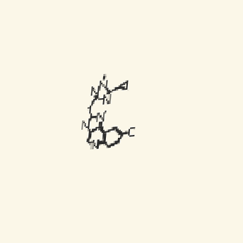 Cn1nc(Cc2nc3cnc4ccc(Cl)cc4c3n2C)nc1C1CC1